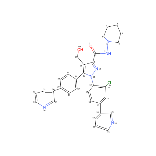 O=C(NN1CCCCC1)c1nn(-c2ccc(-c3cccnc3)cc2Cl)c(-c2ccc(-c3cccnc3)cc2)c1CO